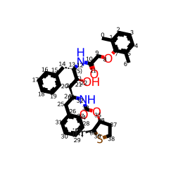 Cc1cccc(C)c1OCC(=O)N[C@@H](Cc1ccccc1)[C@@H](O)C[C@H](Cc1ccccc1)NC(=O)O[C@H]1CCS[C@H]1C(C)C